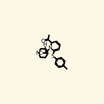 CC(=O)C1C=CC=C(Sc2ccc(C)cc2)N1[C@H]1CN2CCC1CC2